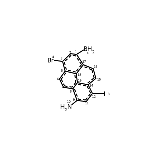 Bc1cc(Br)c2ccc3c(N)cc(I)c4ccc1c2c34